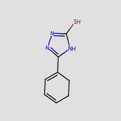 Sc1nnc(C2=CC=CCC2)[nH]1